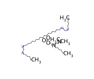 CCCCC/C=C\C/C=C\CCCCCCCCC(CCCCCCCC/C=C\C/C=C\CCCCC)OC(=O)OCCN(CCCCCC)CCN(C)C